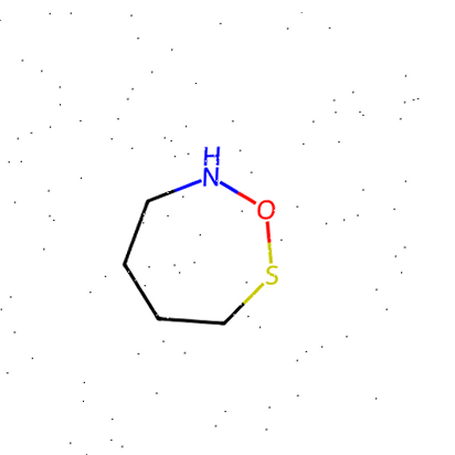 C1CCSONC1